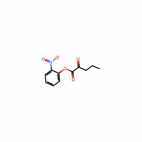 CCCC(=O)C(=O)Oc1ccccc1[N+](=O)[O-]